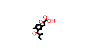 C=C(CC)C(=O)c1cc2c(cc1C)OC(C(=O)O)C2